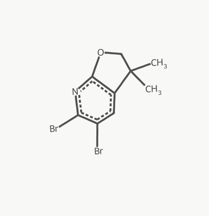 CC1(C)COc2nc(Br)c(Br)cc21